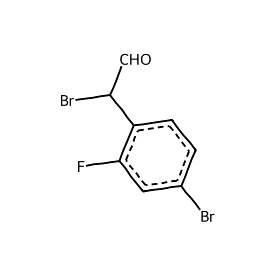 O=CC(Br)c1ccc(Br)cc1F